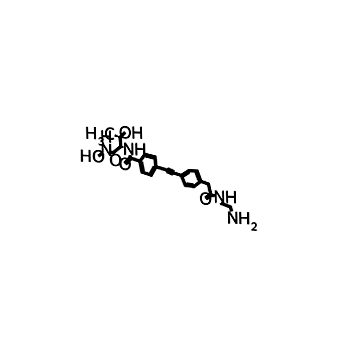 C[C@@H](O)[C@H](NC(=O)c1ccc(C#Cc2ccc(CC(=O)NCCN)cc2)cc1)C(=O)NO